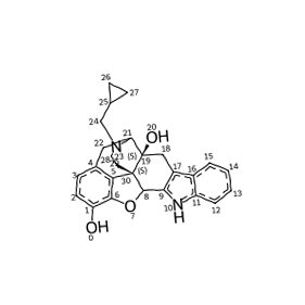 Oc1ccc2c3c1OC1c4[nH]c5ccccc5c4C[C@@]4(O)C(C2)N(CC2CC2)CC[C@]314